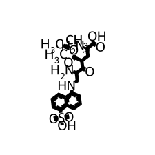 CC(C)(C)OC(=O)C(C[C@H](N)C(=O)O)C(=O)C(N)CNc1cccc2c(S(=O)(=O)O)cccc12